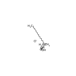 CCCCCCCCCCCCCCCCCC[N+](C)(C)CCCP(=O)(O)O.[Cl-]